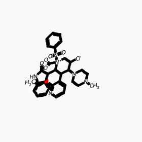 CCOc1ncccc1C1C(N2CCN(C)CC2)C(Cl)C[N+](C(=O)[O-])(S(=O)(=O)c2ccccc2)C1C1C(=O)Nc2ccccc21